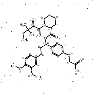 CCC(C)(C)C(=O)C(=O)N1CCCC[C@@H]1C(=O)O[C@H](CCc1ccc(OC)c(OC)c1)c1ccc(OCC(C)=O)cc1